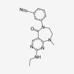 CCNc1ncc2c(n1)N(C)CCN(c1cccc(C#N)c1)C2=O